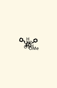 COCNC(=O)[C@@H](CCc1ccccc1)NC(=O)OCc1ccccc1